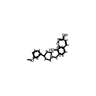 COc1cccc(C2CCN(Cc3ccc4c(c3O)ON=C(O)C=C4)CC2)c1